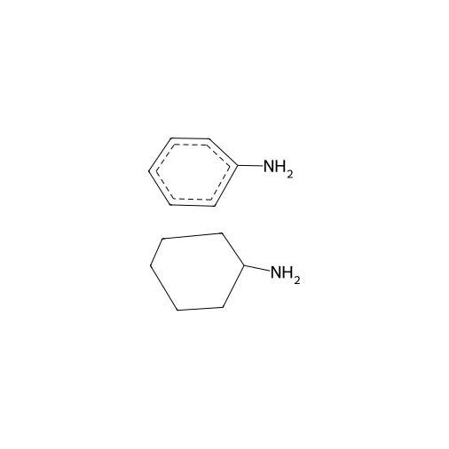 NC1CCCCC1.Nc1ccccc1